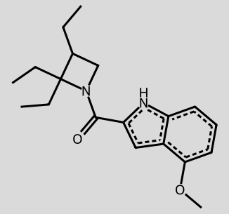 CCC1CN(C(=O)c2cc3c(OC)cccc3[nH]2)C1(CC)CC